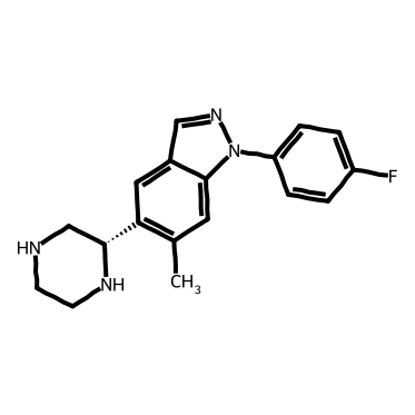 Cc1cc2c(cnn2-c2ccc(F)cc2)cc1[C@H]1CNCCN1